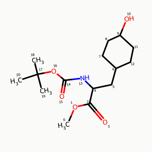 COC(=O)C(CC1CCC(O)CC1)NC(=O)OC(C)(C)C